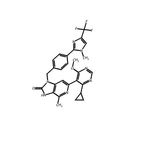 COc1ncnc(C2CC2)c1-c1cc2c([nH]c(=O)n2Cc2ccc(-c3nc(C(F)(F)F)cn3C)cc2)c(C)n1